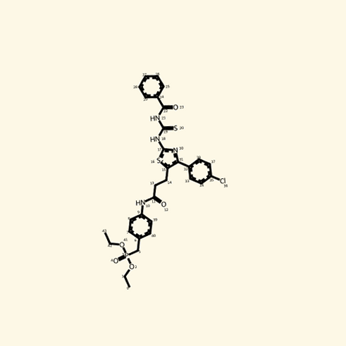 CCOP(=O)(Cc1ccc(NC(=O)CCc2sc(NC(=S)NC(=O)c3ccccc3)nc2-c2ccc(Cl)cc2)cc1)OCC